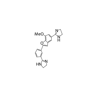 COc1cc(C2=NCCN2)cc2cc(-c3cccc(C4=NCCN4)c3)oc12